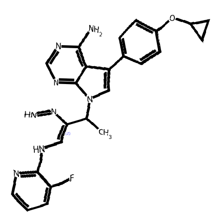 CC(/C(=C/Nc1ncccc1F)N=N)n1cc(-c2ccc(OC3CC3)cc2)c2c(N)ncnc21